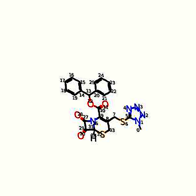 Cn1nnnc1SCC1=C(C(=O)OC(c2ccccc2)c2ccccc2)N2C(=O)C(=O)[C@H]2SC1